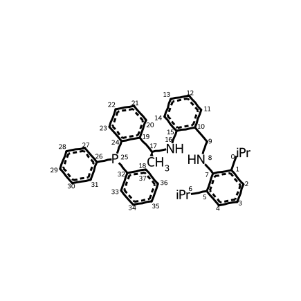 CC(C)c1cccc(C(C)C)c1NCc1ccccc1N[C@@H](C)c1ccccc1P(c1ccccc1)c1ccccc1